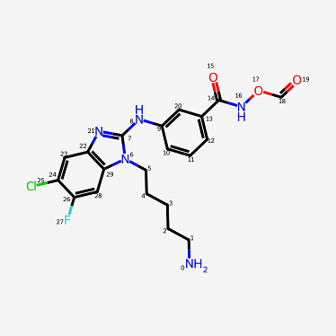 NCCCCCn1c(Nc2cccc(C(=O)NOC=O)c2)nc2cc(Cl)c(F)cc21